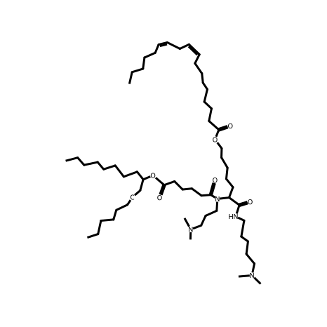 CCCCC/C=C\C/C=C\CCCCCCCC(=O)OCCCCCC(C(=O)NCCCCCN(C)C)N(CCCN(C)C)C(=O)CCCCC(=O)OC(CCCCCCCC)CCCCCCCC